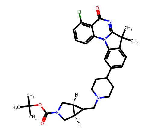 CC(C)(C)OC(=O)N1C[C@@H]2C(CN3CCC(c4ccc5c(c4)-n4c(nc(=O)c6c(Cl)cccc64)C5(C)C)CC3)[C@@H]2C1